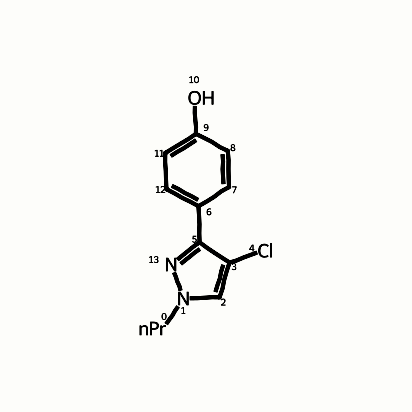 CCCn1cc(Cl)c(-c2ccc(O)cc2)n1